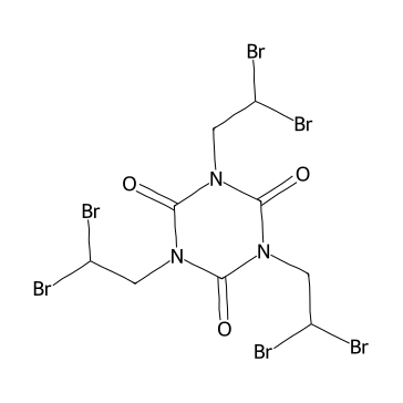 O=c1n(CC(Br)Br)c(=O)n(CC(Br)Br)c(=O)n1CC(Br)Br